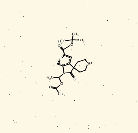 CC(=O)OC(C)N1C(=O)C2(CCNCC2)c2cc(C(=O)OC(C)(C)C)ccc21